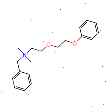 C[N+](C)(CCOCCOc1ccccc1)Cc1ccccc1